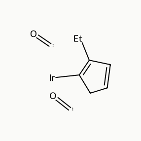 CCC1=[C]([Ir])CC=C1.[C]=O.[C]=O